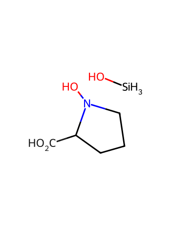 O=C(O)C1CCCN1O.O[SiH3]